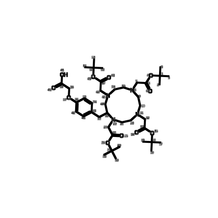 CC(C)(C)OC(=O)CN1CCN(CC(=O)OC(C)(C)C)CCN(CC(=O)OC(C)(C)C)C(Cc2ccc(OCC(=O)O)cc2)CN(CC(=O)OC(C)(C)C)CC1